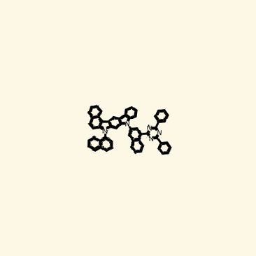 c1ccc(-c2nc(-c3ccccc3)nc(-c3cc(-n4c5ccccc5c5cc6c7c8ccccc8ccc7n(-c7cccc8ccccc78)c6cc54)cc4ccccc34)n2)cc1